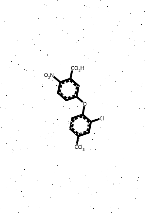 O=C(O)c1cc(Oc2ccc(C(Cl)(Cl)Cl)cc2Cl)ccc1[N+](=O)[O-]